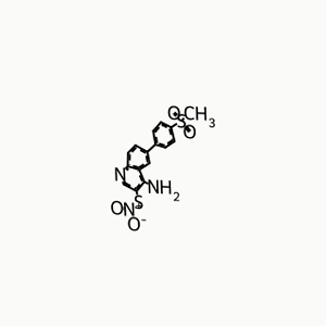 CS(=O)(=O)c1ccc(-c2ccc3ncc(S[N+](=O)[O-])c(N)c3c2)cc1